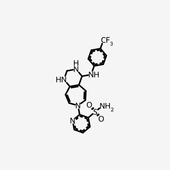 NS(=O)(=O)c1cccnc1N1C=CC2=C(C=C1)C(Nc1ccc(C(F)(F)F)cc1)NCN2